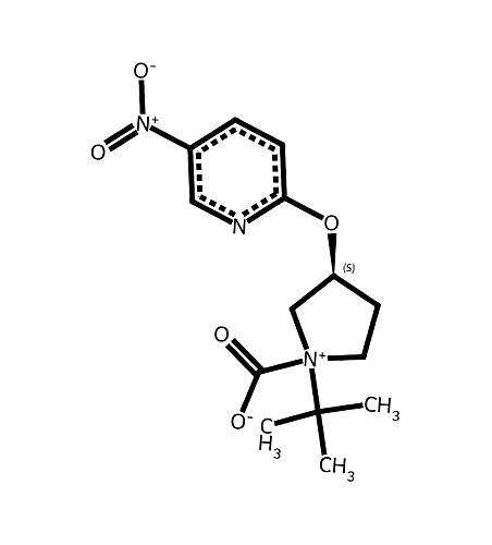 CC(C)(C)[N+]1(C(=O)[O-])CC[C@H](Oc2ccc([N+](=O)[O-])cn2)C1